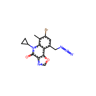 Cc1c(Br)cc(CN=[N+]=[N-])c2c3ocnc3c(=O)n(C3CC3)c12